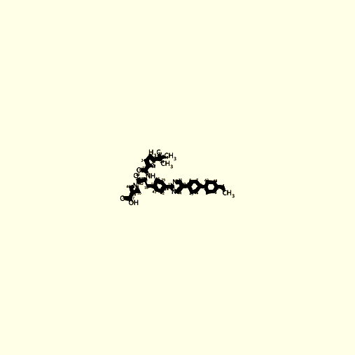 CCC1CCC(C2CC=C(c3cnc(-c4ccc(C[C@H](NC(=O)c5ccc(C(C)(C)C)s5)C(=O)N5CC(C(=O)O)C5)cc4)nc3)CC2)CC1